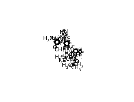 COc1ccc(CN(c2ncns2)S(=O)(=O)c2cc(F)c(NC[C@H](CC3(CCNC(=O)OC(C)(C)C)CCC3)[C@@H](C)NC(=O)OC(C)(C)C)cc2F)c(OC)c1